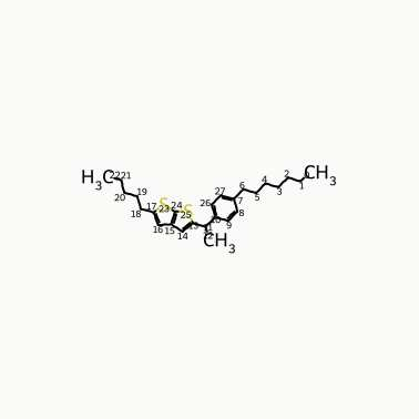 CCCCCCCc1ccc(C(C)c2cc3cc(CCCCC)sc3s2)cc1